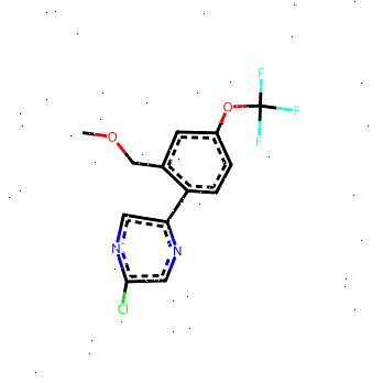 COCc1cc(OC(F)(F)F)ccc1-c1cnc(Cl)cn1